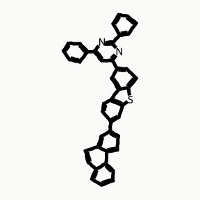 c1ccc(-c2cc(-c3ccc4sc5cc(-c6ccc7c(ccc8ccccc87)c6)ccc5c4c3)nc(-c3ccccc3)n2)cc1